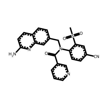 CS(=O)(=O)c1cc(C#N)ccc1N(Cc1ccc2ccc(N)nc2c1)C(=O)c1cccnc1